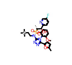 COc1cccc(OC)c1-n1c(-c2ccc(C)o2)nnc1N(CC[Si](C)(C)C)S(=O)(=O)[C@H](C)[C@H](O)c1ccc(F)cn1